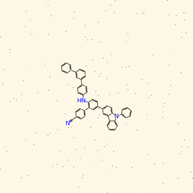 N#Cc1ccc(-c2cc(-c3ccc4c(c3)c3ccccc3n4-c3ccccc3)ccc2Nc2ccc(-c3cccc(-c4ccccc4)c3)cc2)cc1